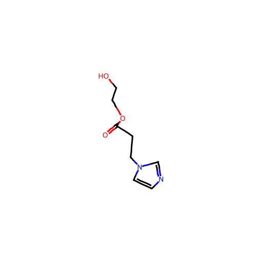 O=C(CCn1ccnc1)OCCO